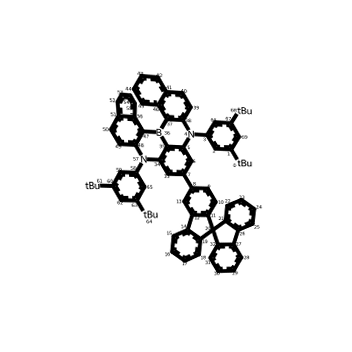 CC(C)(C)c1cc(N2c3cc(-c4ccc5c(c4)-c4ccccc4C54c5ccccc5-c5ccccc54)cc4c3B(c3c2ccc2ccccc32)c2c(ccc3ccccc23)N4c2cc(C(C)(C)C)cc(C(C)(C)C)c2)cc(C(C)(C)C)c1